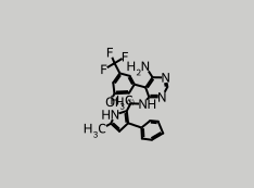 Cc1cc(-c2ccccc2)c([C@H](C)Nc2ncnc(N)c2-c2cc(O)cc(C(F)(F)F)c2)[nH]1